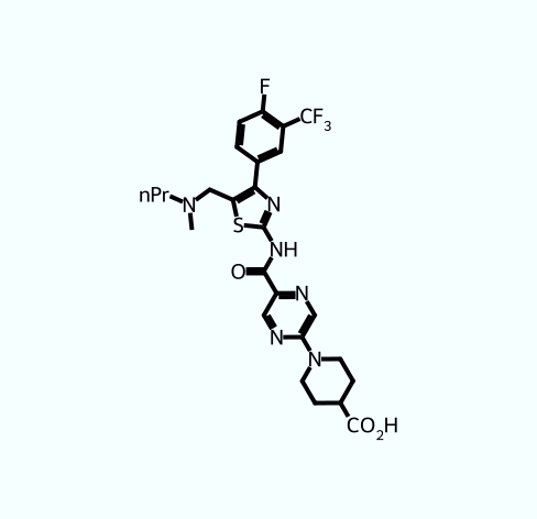 CCCN(C)Cc1sc(NC(=O)c2cnc(N3CCC(C(=O)O)CC3)cn2)nc1-c1ccc(F)c(C(F)(F)F)c1